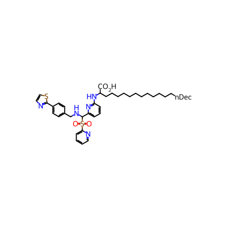 CCCCCCCCCCCCCCCCCCCCCCC(Nc1cccc(C(NCc2ccc(-c3nccs3)cc2)S(=O)(=O)c2ccccn2)n1)C(=O)O